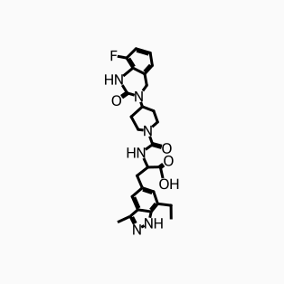 CCc1cc(CC(NC(=O)N2CCC(N3Cc4cccc(F)c4NC3=O)CC2)C(=O)O)cc2c(C)n[nH]c12